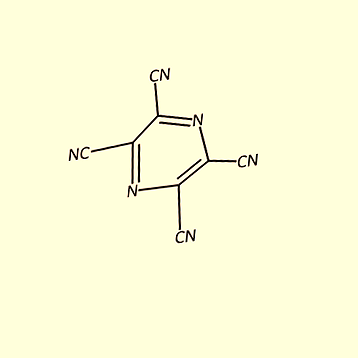 N#Cc1nc(C#N)c(C#N)nc1C#N